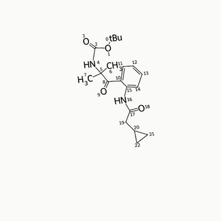 CC(C)(C)OC(=O)NC(C)(C)C(=O)c1ccccc1NC(=O)CC1CC1